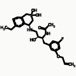 C=CCOc1cc(F)cc(C[C@H](NC(C)=O)[C@H](O)CN[C@H]2CS(O)(O)Cc3ccc(CC)cc32)c1